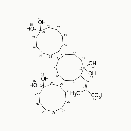 CC(=CC1CCCCCCCCC1(O)O)C(=O)O.OC1(O)CCCCCCCCC1.OC1(O)CCCCCCCCC1